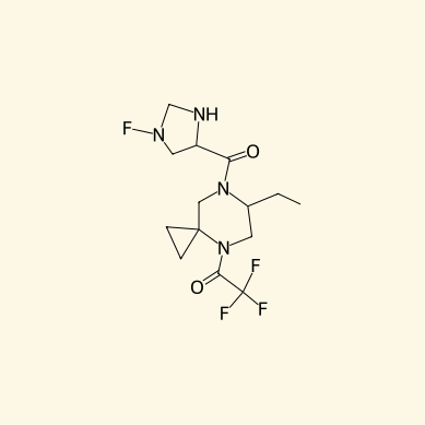 CCC1CN(C(=O)C(F)(F)F)C2(CC2)CN1C(=O)C1CN(F)CN1